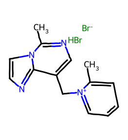 Br.Cc1ncc(C[n+]2ccccc2C)c2nccn12.[Br-]